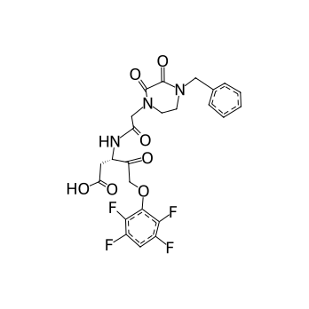 O=C(O)C[C@H](NC(=O)CN1CCN(Cc2ccccc2)C(=O)C1=O)C(=O)COc1c(F)c(F)cc(F)c1F